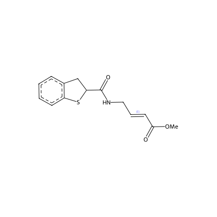 COC(=O)/C=C/CNC(=O)C1Cc2ccccc2S1